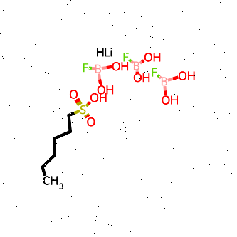 CCCCCCS(=O)(=O)O.OB(O)F.OB(O)F.OB(O)F.[LiH]